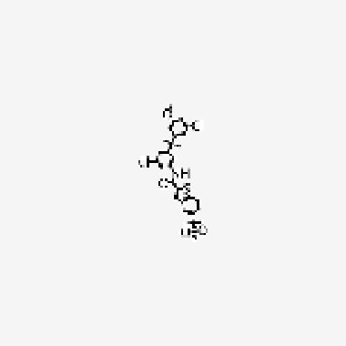 COc1cc(Cl)cc(C(C)(C)c2cc(Cl)cc(NC(=O)c3cc4cc(C(C)(C)S(C)(=O)=O)ccc4s3)c2)c1